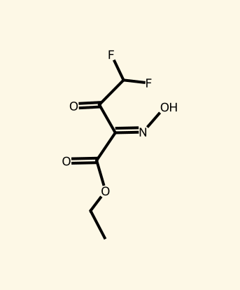 CCOC(=O)C(=NO)C(=O)C(F)F